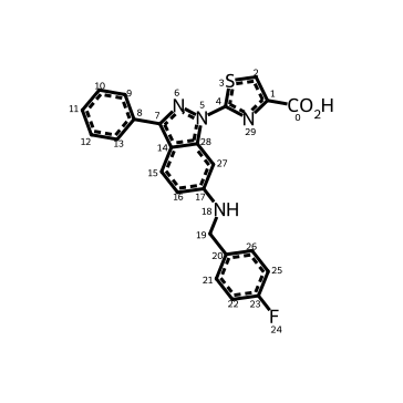 O=C(O)c1csc(-n2nc(-c3ccccc3)c3ccc(NCc4ccc(F)cc4)cc32)n1